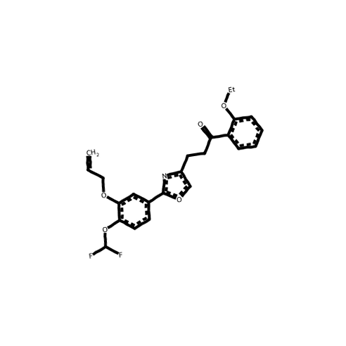 C=CCOc1cc(-c2nc(CCC(=O)c3ccccc3OCC)co2)ccc1OC(F)F